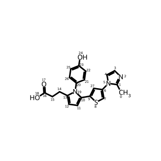 Cc1nccn1-c1csc(-c2ccc(CCC(=O)O)n2-c2ccc(O)cc2)c1